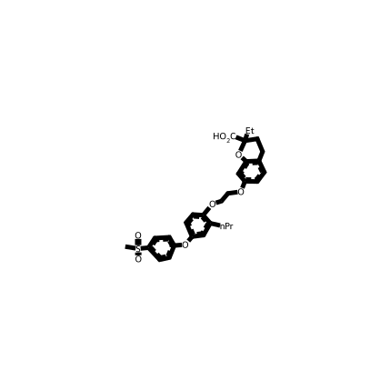 CCCc1cc(Oc2ccc(S(C)(=O)=O)cc2)ccc1OCCOc1ccc2c(c1)OC(CC)(C(=O)O)CC2